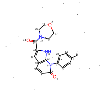 Cc1ccc(-n2c(=O)ccc3cc(C(=O)N4CCOCC4)[nH]c32)cc1